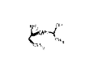 C=CC(N)=O.CCCC(C)O